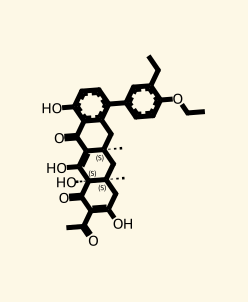 CCOc1ccc(-c2ccc(O)c3c2C[C@@]2(C)C[C@@]4(C)CC(O)=C(C(C)=O)C(=O)[C@@]4(O)C(O)=C2C3=O)cc1CC